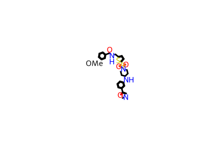 COc1cccc(C(=O)NCc2ccc(S(=O)(=O)N3CCC(Nc4cccc(-c5cnco5)c4)CC3)s2)c1